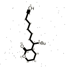 C#CCCCCCC(CCCC)C1CCCOC1=O